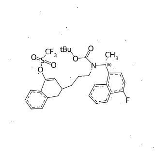 C[C@H](c1ccc(F)c2ccccc12)N(CCCC1C=C(OS(=O)(=O)C(F)(F)F)c2ccccc2C1)C(=O)OC(C)(C)C